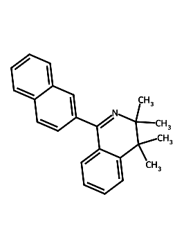 CC1(C)N=C(c2ccc3ccccc3c2)c2ccccc2C1(C)C